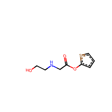 O=C(CNCCO)Oc1cccs1